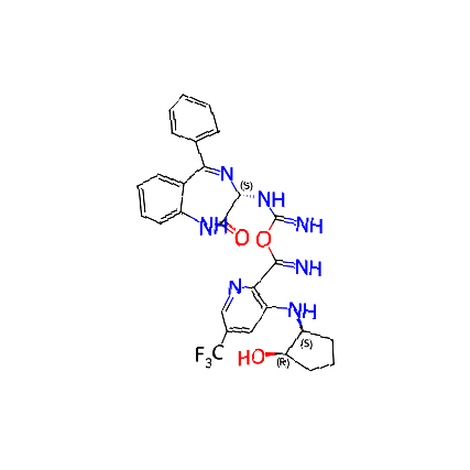 N=C(N[C@H]1N=C(c2ccccc2)c2ccccc2NC1=O)OC(=N)c1ncc(C(F)(F)F)cc1N[C@H]1CCC[C@H]1O